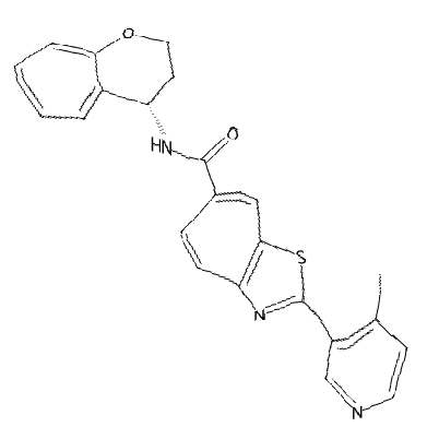 Cc1ccncc1-c1nc2ccc(C(=O)N[C@H]3CCOc4ccccc43)cc2s1